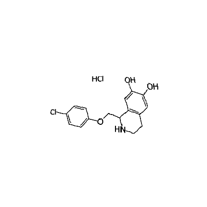 Cl.Oc1cc2c(cc1O)C(COc1ccc(Cl)cc1)NCC2